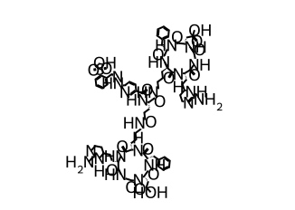 NC1=NCCC(CC[C@@H]2NC(=O)[C@H](CCCCNC(=O)CC[C@H](NC(=O)c3ccc(N/N=C\c4ccccc4S(=O)(=O)O)nc3)C(=O)NCCCC[C@H]3NC(=O)[C@H](Cc4ccccc4)NC(=O)[C@H](CC(=O)O)NC(=O)CNC(=O)[C@H](CCC4CCN=C(N)N4)NC3=O)NC(=O)[C@H](Cc3ccccc3)NC(=O)[C@H](CC(=O)O)NC(=O)CNC2=O)N1